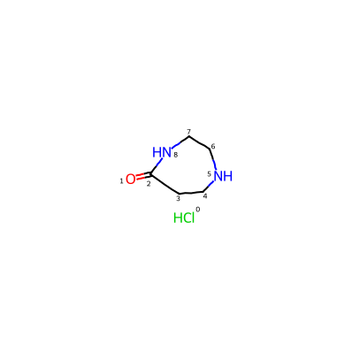 Cl.O=C1CCNCCN1